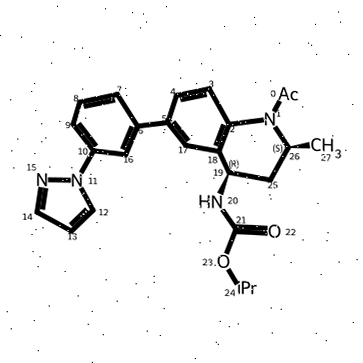 CC(=O)N1c2ccc(-c3cccc(-n4cccn4)c3)cc2[C@H](NC(=O)OC(C)C)C[C@@H]1C